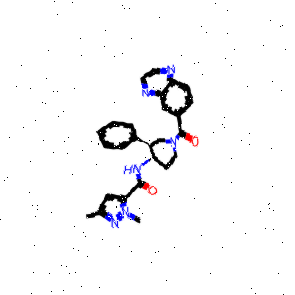 Cc1cc(C(=O)N[C@@H]2CCN(C(=O)c3ccc4nccnc4c3)C[C@@H]2c2ccccc2)n(C)n1